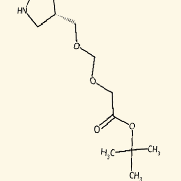 CC(C)(C)OC(=O)COCOC[C@H]1CCNC1